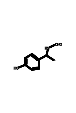 [CH2]C(NC=O)c1ccc(O)cc1